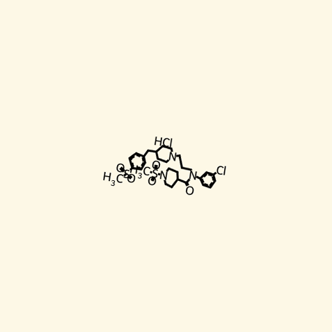 CS(=O)(=O)c1ccc(CC2CCN(CCCN(C(=O)C3CCN(S(C)(=O)=O)CC3)c3cccc(Cl)c3)CC2)cc1.Cl